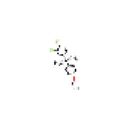 CCOc1ccc(C(C)(C)c2ccc(F)c(F)c2)cc1